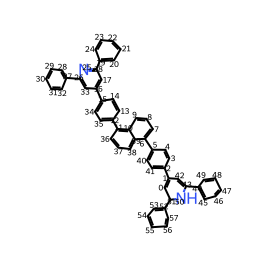 C1=C(c2ccc(-c3cccc4c(-c5ccc(-c6cc(-c7ccccc7)nc(-c7ccccc7)c6)cc5)cccc34)cc2)C=C(c2ccccc2)NC1c1ccccc1